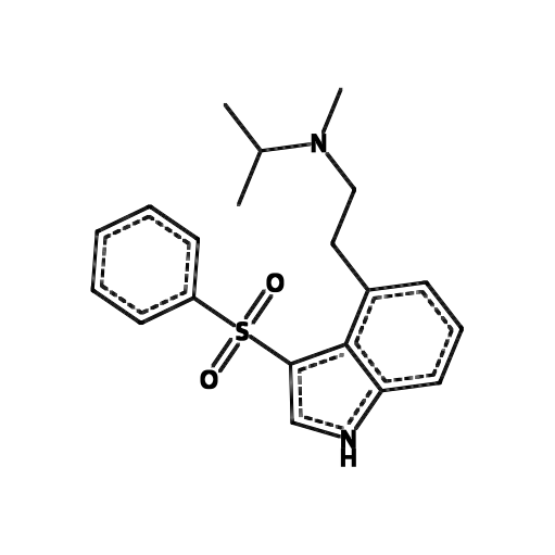 CC(C)N(C)CCc1cccc2[nH]cc(S(=O)(=O)c3ccccc3)c12